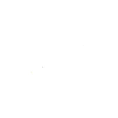 C/C(=C\C(C)(C)S)c1c(C)coc1C